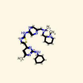 Cc1cc(-c2cnc(Nc3cnc(CN(C)CC4CCCCN4C)cn3)s2)nc(NC2CCCCC2)n1